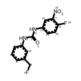 O=C(Nc1cccc(CF)c1)Nc1ccc(F)c([N+](=O)[O-])c1